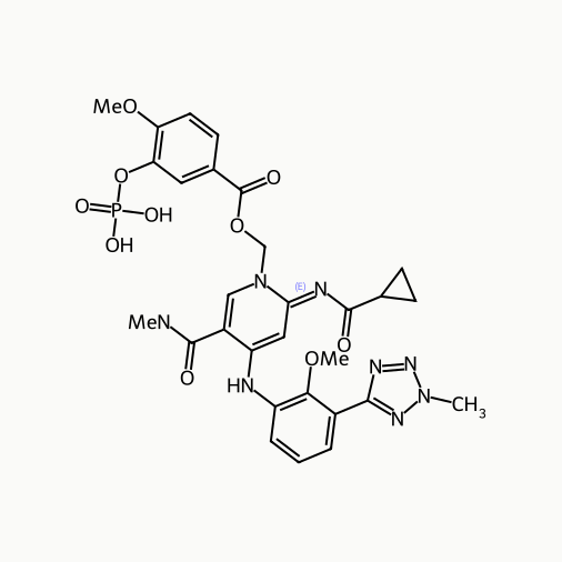 CNC(=O)c1cn(COC(=O)c2ccc(OC)c(OP(=O)(O)O)c2)/c(=N/C(=O)C2CC2)cc1Nc1cccc(-c2nnn(C)n2)c1OC